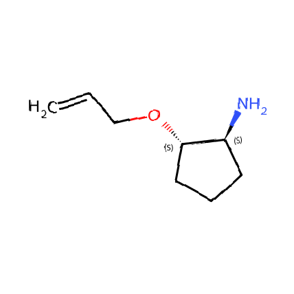 C=CCO[C@H]1CCC[C@@H]1N